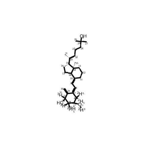 [2H]O[C@]1([2H])C([2H])([2H])/C(=C/C=C2CCC[C@@]3(C)C2CC[C@@H]3[C@H](C)CCCC(C)(C)O)C(=C)C([2H])(O)C1([2H])[2H]